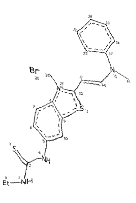 CCNC(=S)Nc1ccc2c(c1)sc(C=CN(C)c1ccccc1)[n+]2C.[Br-]